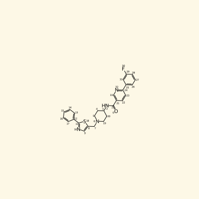 O=C(NC1CCN(Cc2cnc(-c3ccccc3)s2)CC1)c1ccc(-c2cccc(F)c2)nc1